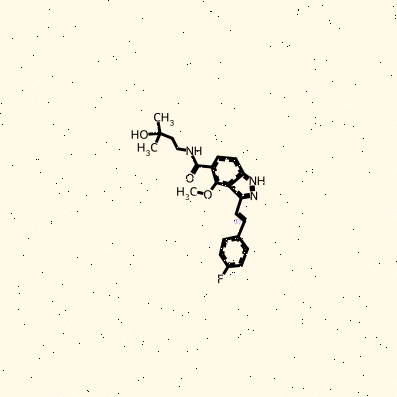 COc1c(C(=O)NCCC(C)(C)O)ccc2[nH]nc(/C=C/c3ccc(F)cc3)c12